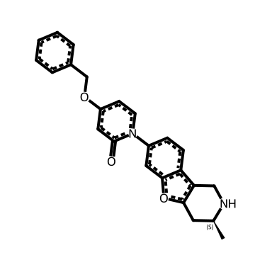 C[C@H]1Cc2oc3cc(-n4ccc(OCc5ccccc5)cc4=O)ccc3c2CN1